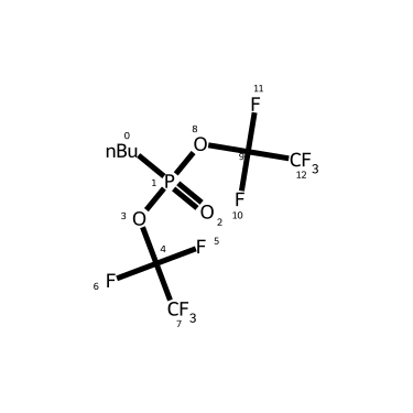 CCCCP(=O)(OC(F)(F)C(F)(F)F)OC(F)(F)C(F)(F)F